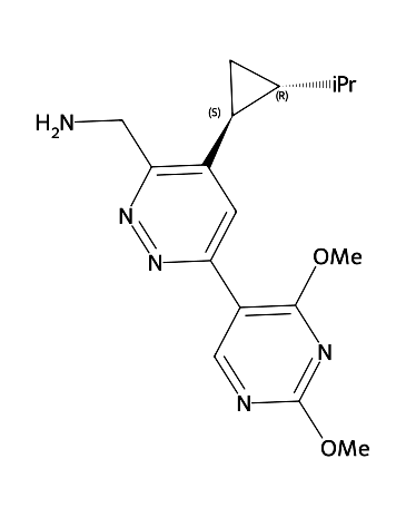 COc1ncc(-c2cc([C@H]3C[C@@H]3C(C)C)c(CN)nn2)c(OC)n1